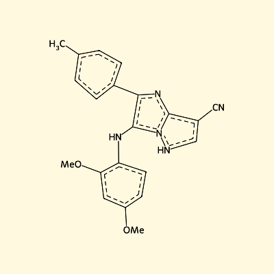 COc1ccc(Nc2c(-c3ccc(C)cc3)nc3c(C#N)c[nH]n23)c(OC)c1